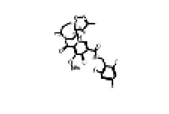 CCCCOc1c2n(cc(C(=O)NCc3c(F)cc(F)cc3F)c1=O)[C@@H]1CN(C2=O)[C@@H](C)CC[C@@]12ON=C(C)[C@@H]2F